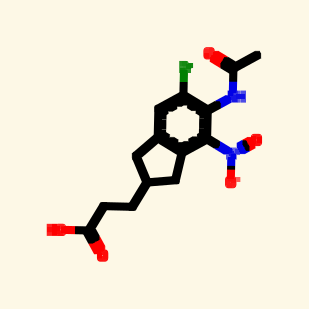 CC(=O)Nc1c(Br)cc2c(c1[N+](=O)[O-])CC(CCC(=O)O)C2